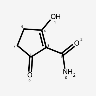 NC(=O)C1=C(O)CCC1=O